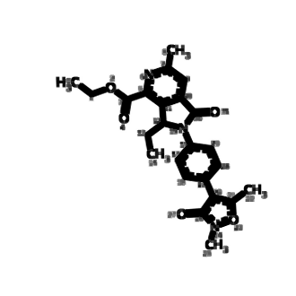 CCOC(=O)c1nc(C)cc2c1C(CC)N(c1ccc(-c3c(C)on(C)c3=O)cc1)C2=O